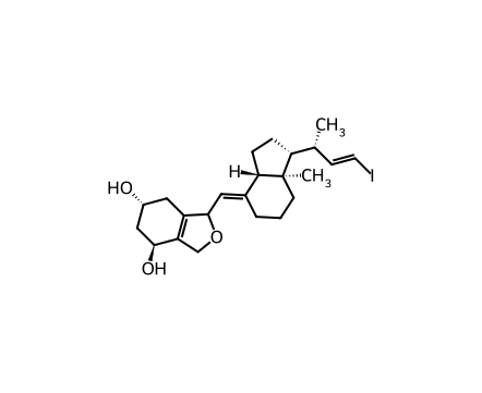 C[C@H](/C=C/I)[C@H]1CC[C@H]2/C(=C/C3OCC4=C3C[C@@H](O)C[C@@H]4O)CCC[C@]12C